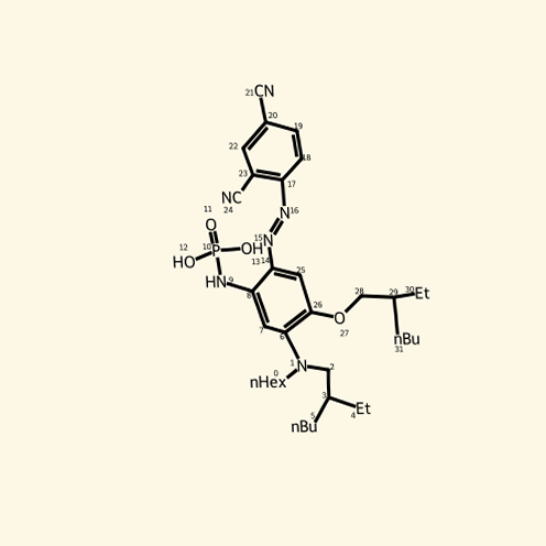 CCCCCCN(CC(CC)CCCC)c1cc(NP(=O)(O)O)c(N=Nc2ccc(C#N)cc2C#N)cc1OCC(CC)CCCC